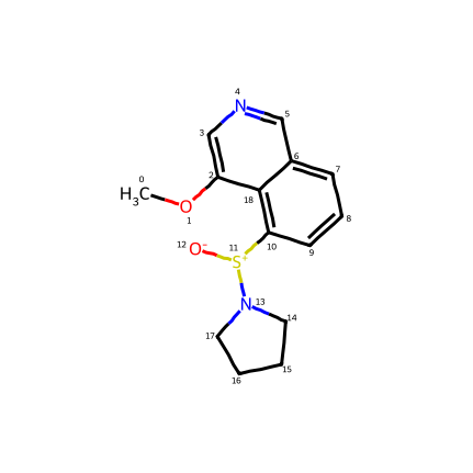 COc1cncc2cccc([S+]([O-])N3CCCC3)c12